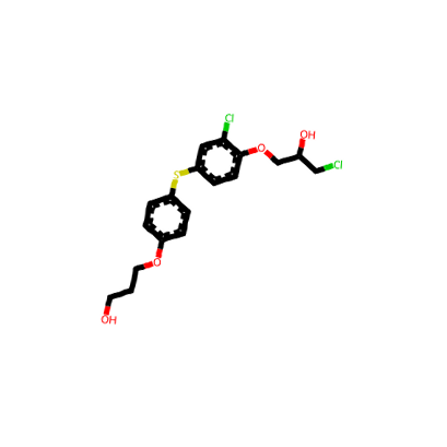 OCCCOc1ccc(Sc2ccc(OCC(O)CCl)c(Cl)c2)cc1